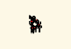 CC[C@H]1OC(=O)[C@H](C)[C@@H](OC(C)=O)[C@H](C)[C@@H](O[C@@H]2O[C@H](C)C[C@H](N(C)C)[C@H]2O)[C@](C)(OC)C[C@@H](C)C(=O)[C@H](C)[C@H]2N(CC3CN(C)C3)C(=O)O[C@]12C